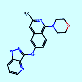 Cc1cc2cc(Nc3n[nH]c4cccnc34)ccc2c(N2CCOCC2)n1